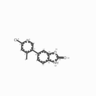 Cc1cc(Cl)ncc1-c1ccc2[nH]c(=O)oc2c1